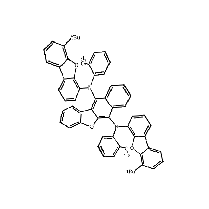 Cc1ccccc1N(c1cccc2c1oc1c(C(C)(C)C)cccc12)c1c2ccccc2c(N(c2ccccc2C)c2cccc3c2oc2c(C(C)(C)C)cccc23)c2c1oc1ccccc12